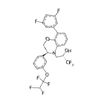 O[C@@H](CN1c2cccc(-c3cc(F)cc(F)c3)c2OC[C@@H]1c1cccc(OC(F)(F)C(F)F)c1)C(F)(F)F